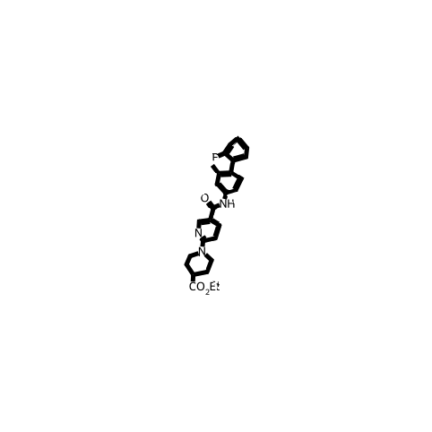 CCOC(=O)C1CCN(c2ccc(C(=O)Nc3ccc(-c4ccccc4F)c(C)c3)cn2)CC1